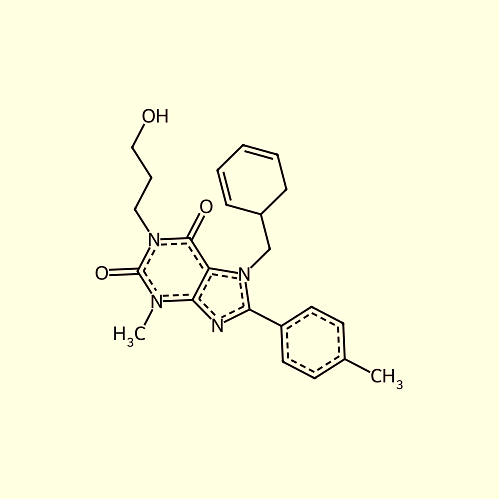 Cc1ccc(-c2nc3c(c(=O)n(CCCO)c(=O)n3C)n2CC2C=CC=CC2)cc1